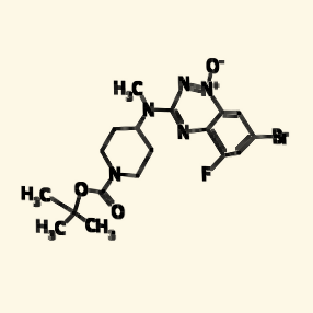 CN(c1nc2c(F)cc(Br)cc2[n+]([O-])n1)C1CCN(C(=O)OC(C)(C)C)CC1